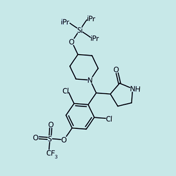 CC(C)[Si](OC1CCN(C(c2c(Cl)cc(OS(=O)(=O)C(F)(F)F)cc2Cl)C2CCNC2=O)CC1)(C(C)C)C(C)C